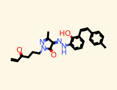 C=CC(=O)CCCN1N=C(C)/C(=N/Nc2cccc(/C=C\c3ccc(C)cc3)c2O)C1=O